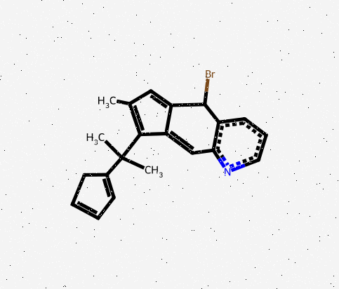 CC1=C(C(C)(C)C2=CC=CC2)C2=Cc3ncccc3C(Br)C2=C1